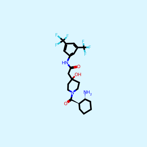 N[C@@H]1CCCC[C@H]1C(=O)N1CCC(O)(CC(=O)Nc2cc(C(F)(F)F)cc(C(F)(F)F)c2)CC1